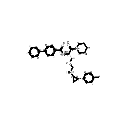 Cc1ccc([C@@H]2CC2NCSC[C@H](NC(=O)c2ccc(-c3ccccc3)cc2)C(=O)N2CCCCC2)cc1